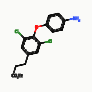 CCOC(=O)CCc1cc(Cl)c(Oc2ccc(N)cc2)c(Cl)c1